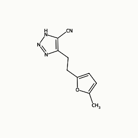 Cc1ccc(CCc2nn[nH]c2C#N)o1